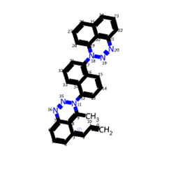 C=C/C=c1/cccc2c1=C(C)N(c1cccc3c(N4N=Nc5cccc6cccc4c56)cccc13)N=N2